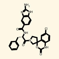 Nc1nc2cc(C(=O)N[C@@H](Cc3ccccc3)C(=O)N3CCC4(C3)OC(=O)Nc3ccc(Cl)cc34)ccc2[nH]1